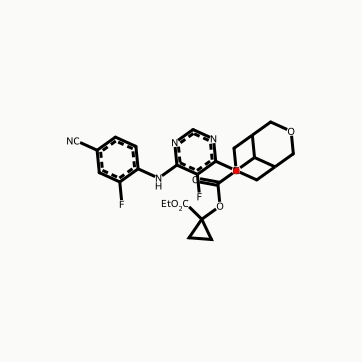 CCOC(=O)C1(OC(=O)N2CC3COCC(C2)C3Oc2ncnc(Nc3ccc(C#N)cc3F)c2F)CC1